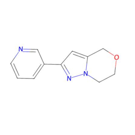 c1cncc(-c2cc3n(n2)CCOC3)c1